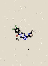 Cc1nc(-c2nnc3n2CCN(C(=O)c2ccc(F)c(F)c2)[C@@H]3C)cs1